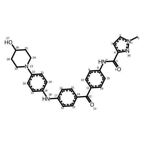 Cn1ccc(C(=O)Nc2ccc(C(=O)c3ccc(Nc4ccc(N5CCC(O)CC5)cc4)cc3)cc2)n1